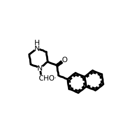 O=[C]N1CCNCC1C(=O)Cc1ccc2ccccc2c1